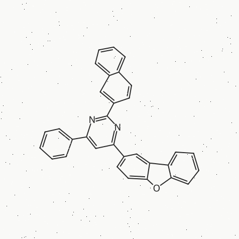 c1ccc(-c2cc(-c3ccc4oc5ccccc5c4c3)nc(-c3ccc4ccccc4c3)n2)cc1